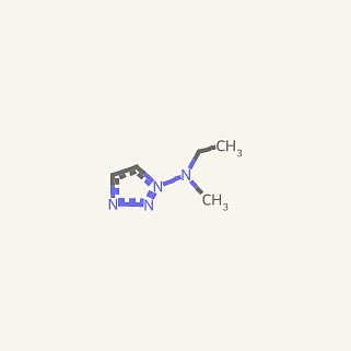 CCN(C)n1ccnn1